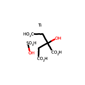 O=C(O)CC(O)(CC(=O)O)C(=O)O.O=S(=O)(O)O.[Ti]